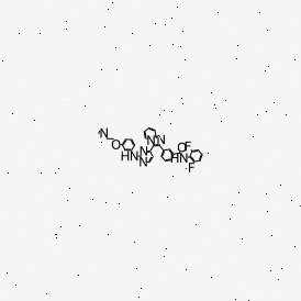 CN(C)CCOc1cccc(Nc2nccc(-c3c(-c4cccc(C(=O)Nc5c(F)cccc5F)c4)nc4ccccn34)n2)c1